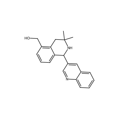 CC1(C)Cc2c(CO)cccc2C(c2cnc3ccccc3c2)N1